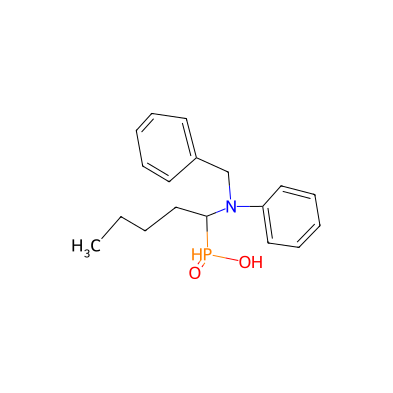 CCCCC(N(Cc1ccccc1)c1ccccc1)[PH](=O)O